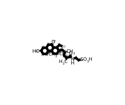 C[C@H](C[C@H](C)C(=O)NCCS(=O)(=O)O)[C@H]1CCC2C3C(=O)CC4C[C@H](O)CC[C@]4(C)C3CC[C@@]21C